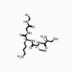 CC(=O)CNC(=O)CNC(=O)[C@H](CCCCN)NC(=O)[C@@H](CC(C)C)NC(=O)[C@@H](N)CO